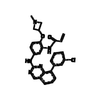 C=CC(=O)Nc1cc(Nc2ncc3cccc(-c4cccc(Cl)c4)c3n2)ccc1OC1CN(C)C1